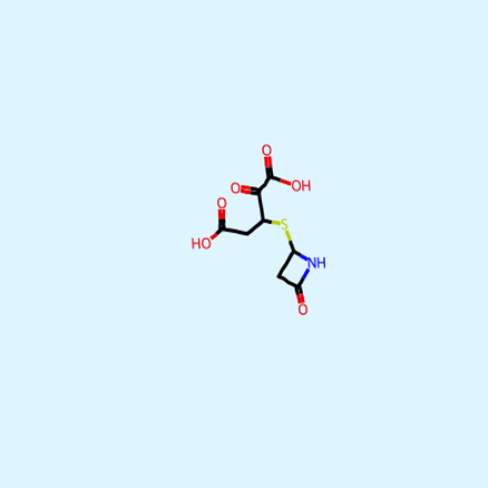 O=C(O)CC(SC1CC(=O)N1)C(=O)C(=O)O